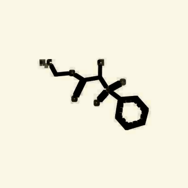 CCOC(=O)C(Cl)S(=O)(=O)c1ccccc1